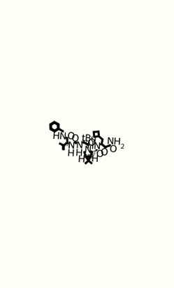 C=C(C)[C@H](NC(=O)N[C@H](C(=O)N1C[C@H]2[C@@H]([C@H]1C(=O)NC(CC1CCC1)C(=O)C(N)=O)C2(C)C)C(C)(C)C)C(=O)NCc1ccccc1